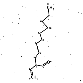 C=CC(C=O)CCCCCCCCC